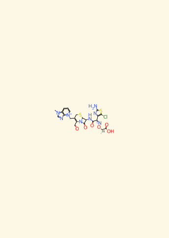 C[C@H](O/N=C(\C(=O)NC1C(=O)N2C(C=O)=C(C[n+]3cccc4c3ncn4C)CSC12)c1nc(N)sc1Cl)C(=O)O